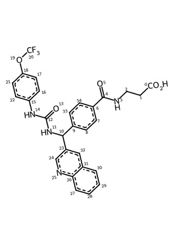 O=C(O)CCNC(=O)c1ccc(C(NC(=O)Nc2ccc(OC(F)(F)F)cc2)c2cnc3ccccc3c2)cc1